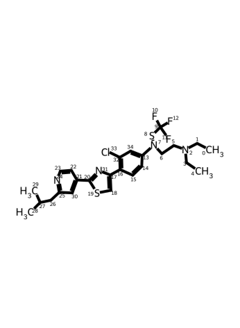 CCN(CC)CCN(SC(F)(F)F)c1ccc(-c2csc(-c3ccnc(CC(C)C)c3)n2)c(Cl)c1